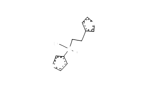 CC[Si](CC)(CCc1ccsc1)c1ccsc1